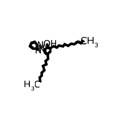 CCCCCCCCCCCc1cc(CCCCCCCCCC)cc(-n2nc3ccccc3n2)c1O